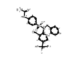 NC(=O)Nc1ccc(S(=O)(=O)N(Cc2ccccc2)c2ncc(C(F)(F)F)cc2Cl)cc1